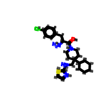 NC(Cc1ccc(Cl)cc1)C(=O)N1CCC(CNc2nccs2)(C2CCCCC2)CC1